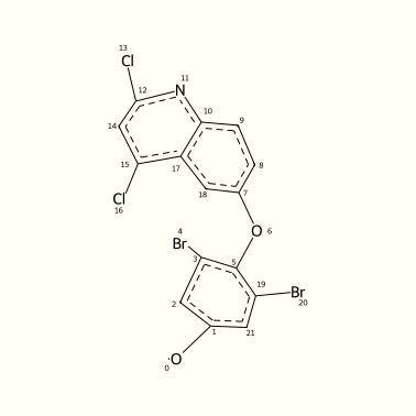 [O]c1cc(Br)c(Oc2ccc3nc(Cl)cc(Cl)c3c2)c(Br)c1